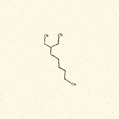 N#CCCCCCC(CC#N)CC#N